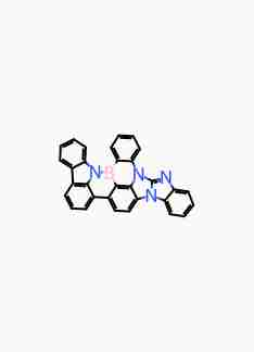 c1ccc2c(c1)B1c3c(ccc4c3n-2c2nc3ccccc3n42)-c2cccc3c4ccccc4n1c23